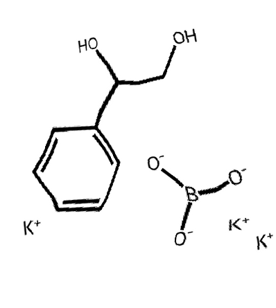 OCC(O)c1ccccc1.[K+].[K+].[K+].[O-]B([O-])[O-]